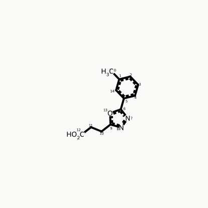 Cc1cccc(-c2nnc(CCC(=O)O)o2)c1